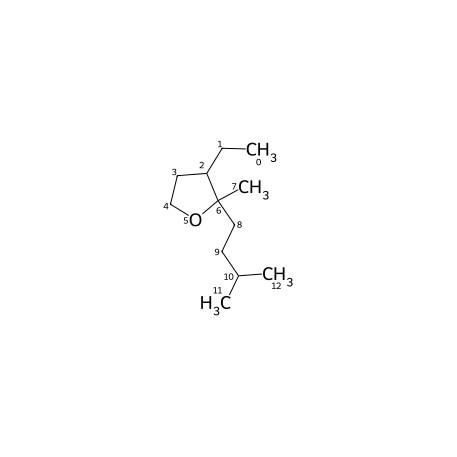 CCC1CCOC1(C)CCC(C)C